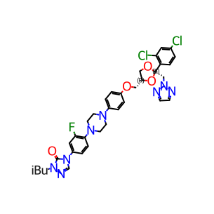 CCC(C)n1ncn(-c2ccc(N3CCN(c4ccc(OC[C@@H]5CO[C@@](Cn6nccn6)(c6ccc(Cl)cc6Cl)O5)cc4)CC3)c(F)c2)c1=O